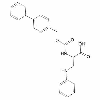 O=C(NC(CNc1ccccc1)C(=O)O)OCc1ccc(-c2ccccc2)cc1